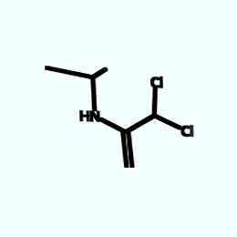 C=C(NC(C)C)C(Cl)Cl